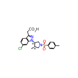 Cc1ccc(S(=O)(=O)N2C[C@@H](C)[C@@H](n3nc(CC(=O)O)c4ccc(Cl)cc43)C2)cc1